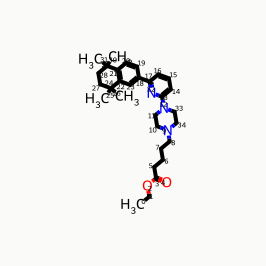 CCOC(=O)CCCCN1CCN(c2cccc(-c3ccc4c(c3)C(C)(C)CCC4(C)C)n2)CC1